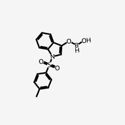 Cc1ccc(S(=O)(=O)n2cc(OBO)c3ccccc32)cc1